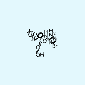 CN(Cc1cccc(NC(=O)c2nc(Br)cnc2N)c1OCCOCCO)C(=O)OC(C)(C)C